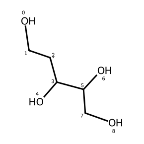 OC[CH]C(O)C(O)CO